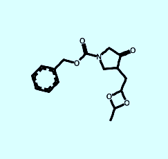 CC1OC(CC2CN(C(=O)OCc3ccccc3)CC2=O)O1